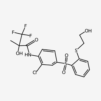 CC(O)(C(=O)Nc1ccc(S(=O)(=O)c2ccccc2SCCO)cc1Cl)C(F)(F)F